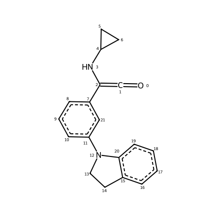 O=C=C(NC1CC1)c1cccc(N2CCc3ccccc32)c1